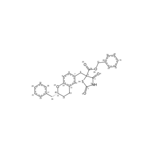 O=C1NC(=O)C(Cc2ccc3c(c2)CC[C@H](Cc2ccccc2)O3)(C(=O)OCc2ccccc2)S1